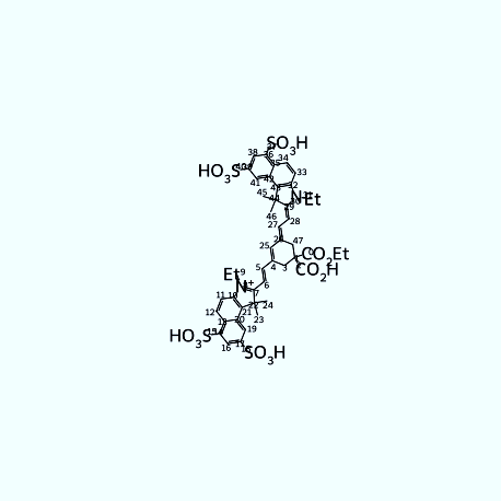 CCOC(=O)C1(C(=O)O)CC(/C=C/C2=[N+](CC)c3ccc4c(S(=O)(=O)O)cc(S(=O)(=O)O)cc4c3C2(C)C)=CC(=C/C=C2/N(CC)c3ccc4c(S(=O)(=O)O)cc(S(=O)(=O)O)cc4c3C2(C)C)/C1